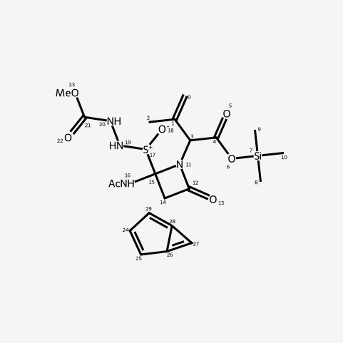 C=C(C)C(C(=O)O[Si](C)(C)C)N1C(=O)CC1(NC(C)=O)[S+]([O-])NNC(=O)OC.c1cc2cc-2c1